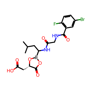 CC(C)CC(NC(=O)CNC(=O)c1cc(Br)ccc1F)B1OC(=O)[C@H](CC(=O)O)O1